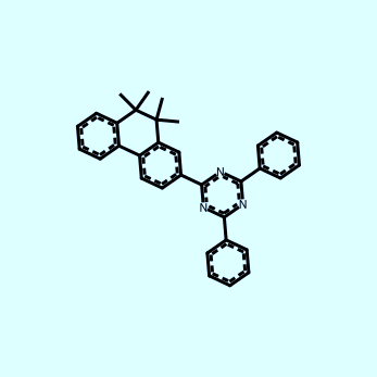 CC1(C)c2ccccc2-c2ccc(-c3nc(-c4ccccc4)nc(-c4ccccc4)n3)cc2C1(C)C